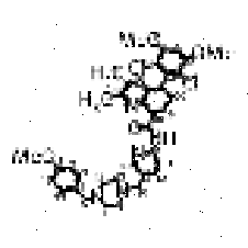 COc1ccc(CN2CCN(Cc3ccc(NC(=O)c4ccc(-c5c(Cl)c(OC)cc(OC)c5Cl)c5nc(C)c(C)nc45)nc3)CC2)cc1